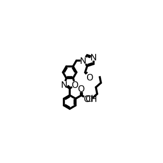 CCCCCl.O=Cc1cncn1Cc1ccc2nc(-c3ccccc3C(=O)O)oc2c1